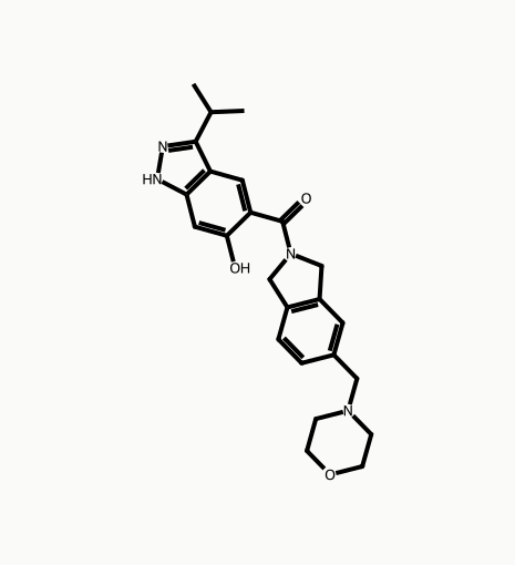 CC(C)c1n[nH]c2cc(O)c(C(=O)N3Cc4ccc(CN5CCOCC5)cc4C3)cc12